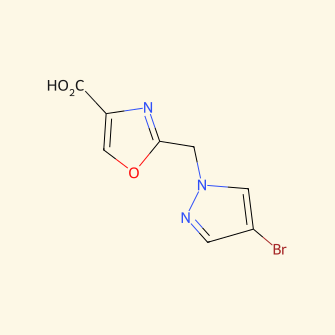 O=C(O)c1coc(Cn2cc(Br)cn2)n1